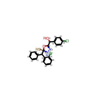 OC(C1=NN[C@](S)(C(c2ccccc2)c2ccccc2Br)O1)c1ccc(Cl)cc1